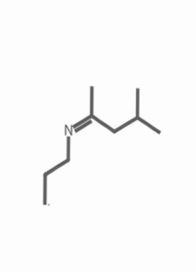 [CH2]CCN=C(C)CC(C)C